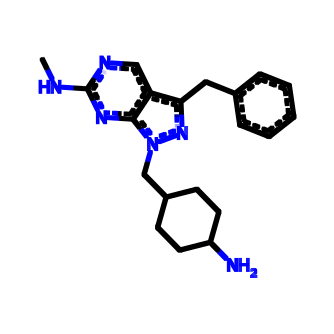 CNc1ncc2c(Cc3ccccc3)nn(CC3CCC(N)CC3)c2n1